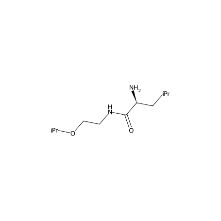 CC(C)C[C@H](N)C(=O)NCCOC(C)C